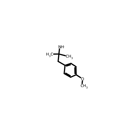 COc1ccc(CC(C)(C)[NH])cc1